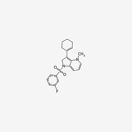 CN1C=CC=C2C1=C(C1=CCCCC1)CN2S(=O)(=O)c1cccc(F)c1